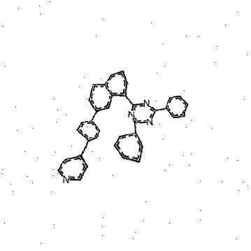 c1ccc(-c2nc(-c3ccccc3)nc(-c3cccc4ccc(-c5ccc(-c6ccncc6)cc5)cc34)n2)cc1